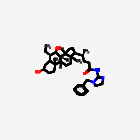 CC[C@@H]1C2C[C@H](O)CCC2(C)[C@H]2CCC3(C)C([C@H](C)CCC(=O)NC4=NCCN4Cc4ccccc4)CC[C@H]3[C@@H]2[C@@H]1O